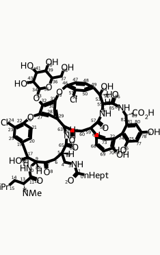 CCCCCCCC(=O)NC[C@@H]1CC(=O)[C@H](NC(=O)[C@@H](CC(C)C)NC)[C@H](O)c2ccc(c(Cl)c2)Oc2cc3cc(c2OC2OC(CO)C(O)C(O)C2O)Oc2ccc(cc2Cl)[C@@H](O)[C@@H]2NC(=O)[C@H](CC(=O)[C@@H]3NC1=O)c1ccc(O)c(c1)-c1c(O)cc(O)cc1[C@@H](C(=O)O)NC2=O